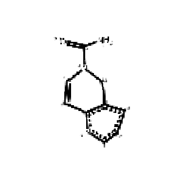 NC(=O)N1C=Cc2ncccc2C1